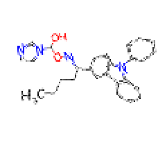 CCCC/C(=N\OC(O)n1ccnc1)c1ccc2c(c1)c1ccccc1n2-c1ccccc1